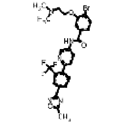 Cc1nc(-c2ccc(-c3ccc(NC(=O)c4ccc(Br)c(OCCN(C)C)c4)cn3)c(C(F)(F)F)c2)no1